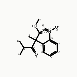 COC(=O)C(C)(C(=O)C(C)C)c1ccccc1[N+](=O)[O-]